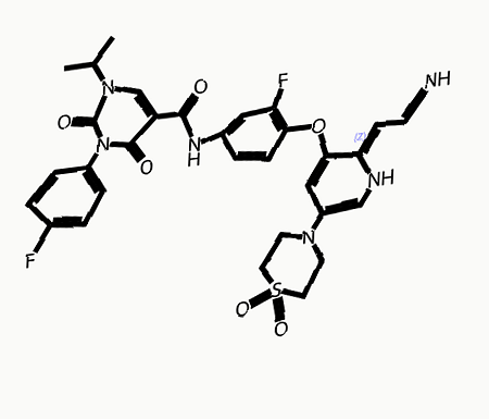 CC(C)n1cc(C(=O)Nc2ccc(OC3=CC(N4CCS(=O)(=O)CC4)=CN/C3=C\C=N)c(F)c2)c(=O)n(-c2ccc(F)cc2)c1=O